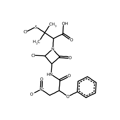 CC(C)(SCl)C(C(=O)O)N1C(=O)C(NC(=O)C(C[N+](=O)[O-])Oc2ccccc2)C1Cl